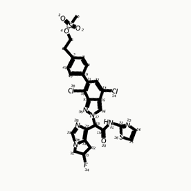 CS(=O)(=O)OCCc1ccc(-c2cc(Cl)c3cn(C(C(=O)Nc4nccs4)c4ncn5c4CC(F)C5)nc3c2Cl)cc1